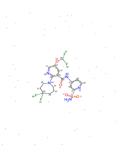 NS(=O)(=O)c1cc(NC(=O)c2cc(OC(F)F)cnc2N2CCCC(F)(F)CC2)ccn1